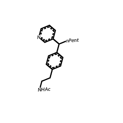 CCCCCC(c1ccc(CCNC(C)=O)cc1)c1cccnc1